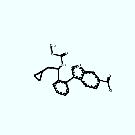 CC(C)(C)OC(=O)NC(CC1CC1)c1ccccc1-c1noc2cc(C(=O)Cl)ccc12